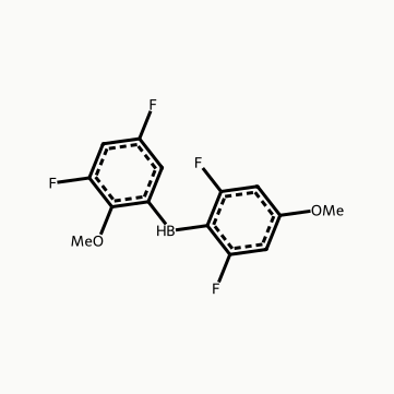 COc1cc(F)c(Bc2cc(F)cc(F)c2OC)c(F)c1